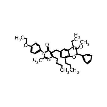 CCCCc1nc(C)n(-c2ccc(OCC)cc2)c(=O)c1Cc1cc(CCC)c(OC(C(=O)OC)c2ccccc2)c(CCC)c1